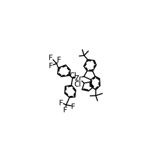 CC(C)(C)c1ccc2c(c1)[CH]([Zr]([Cl])([Cl])(=[C](c1ccc(C(F)(F)F)cc1)c1ccc(C(F)(F)F)cc1)[CH]1C=CC=C1)c1cc(C(C)(C)C)ccc1-2